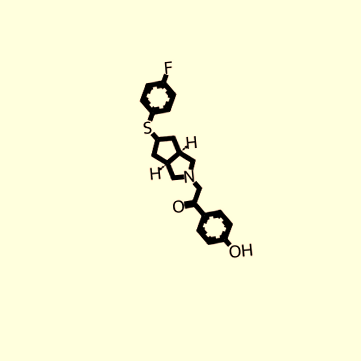 O=C(CN1C[C@H]2CC(Sc3ccc(F)cc3)C[C@H]2C1)c1ccc(O)cc1